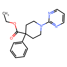 CCOC(=O)C1(c2ccccc2)CCN(c2ncccn2)CC1